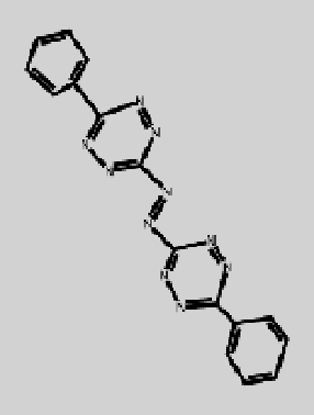 c1ccc(-c2nnc(N=Nc3nnc(-c4ccccc4)nn3)nn2)cc1